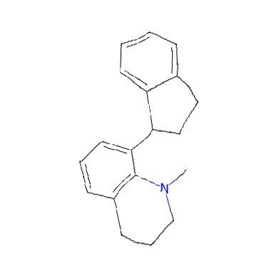 CN1CCCc2cccc(C3CCc4ccccc43)c21